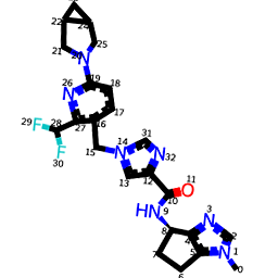 Cn1cnc2c1CC[C@H]2NC(=O)c1cn(Cc2ccc(N3CC4CC4C3)nc2C(F)F)cn1